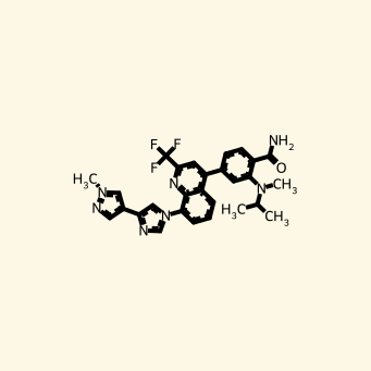 CC(C)N(C)c1cc(-c2cc(C(F)(F)F)nc3c(-n4cnc(-c5cnn(C)c5)c4)cccc23)ccc1C(N)=O